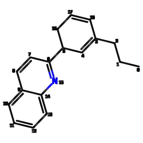 CCCC1=CC(c2ccc3ccccc3n2)CC=C1